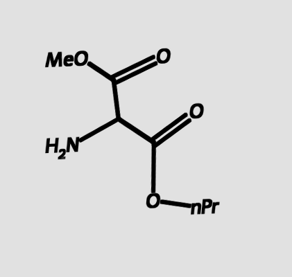 CCCOC(=O)C(N)C(=O)OC